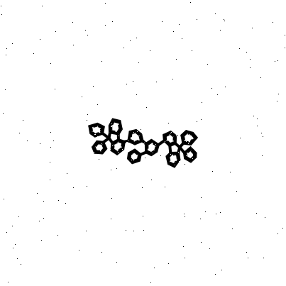 c1ccc(-c2ccc(-c3cccc4c3-c3ccccc3C4(c3ccccc3)c3ccccc3)cc2-c2cccc(-c3cccc4c3-c3ccccc3C4(c3ccccc3)c3ccccc3)c2)cc1